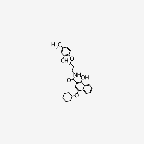 Cc1ccc(OCCCNC(=O)c2cc(OC3CCCCC3)c3ccccc3c2O)c(C)c1